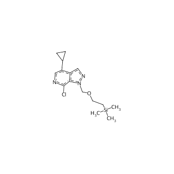 C[Si](C)(C)CCOCn1ncc2c(C3CC3)cnc(Cl)c21